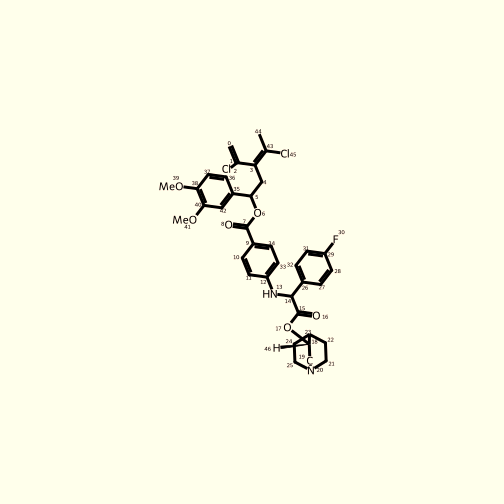 C=C(Cl)/C(CC(OC(=O)c1ccc(NC(C(=O)O[C@H]2CN3CCC2CC3)c2ccc(F)cc2)cc1)c1ccc(OC)c(OC)c1)=C(\C)Cl